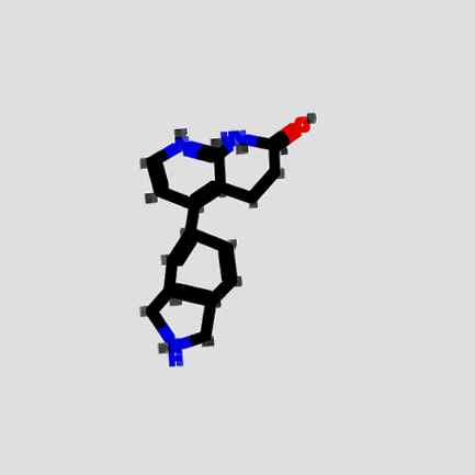 O=C1CCc2c(-c3ccc4c(c3)CNC4)ccnc2N1